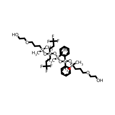 C=C[Si](C)(O[Si](CCC(F)(F)F)(CCC(F)(F)F)O[Si](C)(C)CCCOCCO)O[Si](O[Si](C)(C)CCCOCCO)(c1ccccc1)c1ccccc1